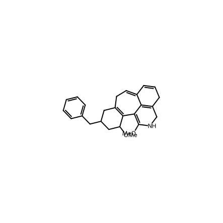 COC1=C2C3=C(CC=CC3=CCC3=C2C(OC)CC(Cc2ccccc2)C3)CN1